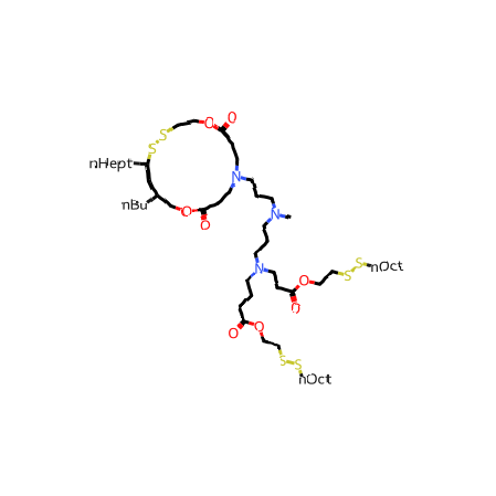 CCCCCCCCSSCCOC(=O)CCCN(CCCN(C)CCCN1CCC(=O)OCCSSC(CCCCCCC)CC(CCCC)COC(=O)CC1)CCC(=O)OCCSSCCCCCCCC